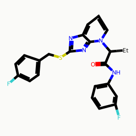 CCC(C(=O)Nc1cccc(F)c1)n1cccc2nc(SCc3ccc(F)cc3)nc1-2